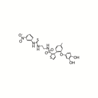 Cc1ccc(-c2ccsc2S(=O)(=O)NCCNC(=S)Nc2cccc([N+](=O)[O-])c2)c(Oc2ccc(O)c(O)c2)c1